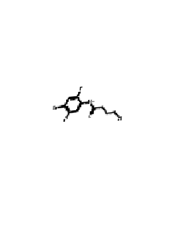 O=C(CCCCl)Nc1cc(F)c(Br)cc1F